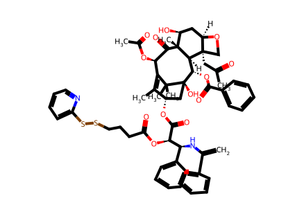 C=C(N[C@@H](c1ccccc1)[C@@H](OC(=O)CCCSSc1ccccn1)C(=O)O[C@H]1C[C@@]2(O)[C@@H](OC(=O)c3ccccc3)[C@@H]3[C@]4(CC(C)=O)CO[C@@H]4C[C@H](O)[C@@]3(C)C(=O)[C@H](OC(C)=O)C(=C1C)C2(C)C)c1ccccc1